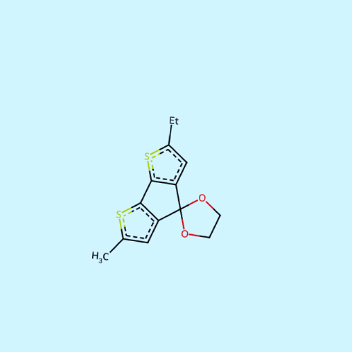 CCc1cc2c(s1)-c1sc(C)cc1C21OCCO1